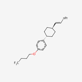 CCCC=C[C@H]1CC[C@H](c2ccc(OCCCC(F)(F)F)cc2)CC1